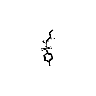 CC[C@H](C)[C@H]1CN1S(=O)(=O)c1ccc(C)cc1